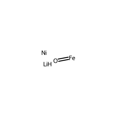 [LiH].[Ni].[O]=[Fe]